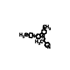 CC(=Cn1c2c(c3cc(N4CCN(C)CC4)ccc31)CN(C)CC2)c1ccncc1